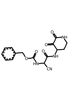 N#CC(NC(=O)OCc1ccccc1)C(=O)NC1CCNC(=O)C1=O